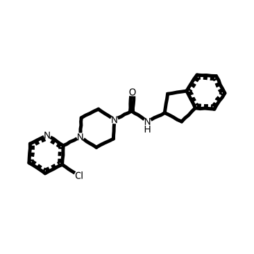 O=C(NC1Cc2ccccc2C1)N1CCN(c2ncccc2Cl)CC1